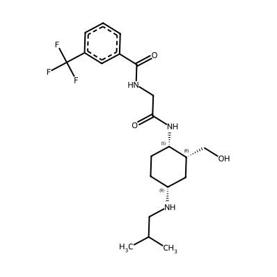 CC(C)CN[C@@H]1CC[C@H](NC(=O)CNC(=O)c2cccc(C(F)(F)F)c2)[C@H](CO)C1